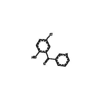 O=C(c1cccnc1)c1cc(Cl)ccc1O